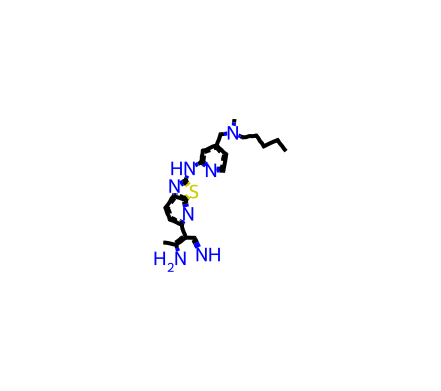 CCCCCN(C)Cc1ccnc(Nc2nc3ccc(/C(C=N)=C(\C)N)nc3s2)c1